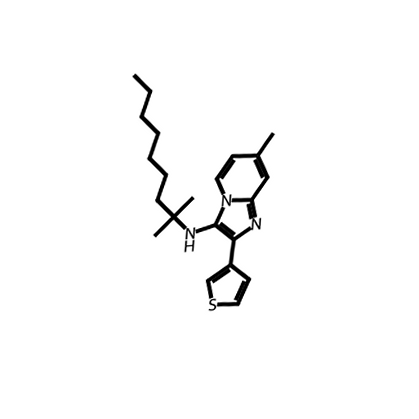 CCCCCCCC(C)(C)Nc1c(-c2ccsc2)nc2cc(C)ccn12